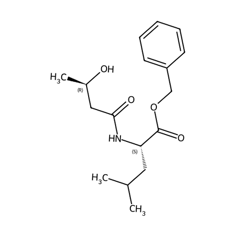 CC(C)C[C@H](NC(=O)C[C@@H](C)O)C(=O)OCc1ccccc1